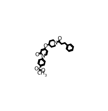 CS(=O)(=O)c1ccc(-n2ccc(OC3CCN(C(=O)CCc4ccccc4)CC3)cc2=O)cc1